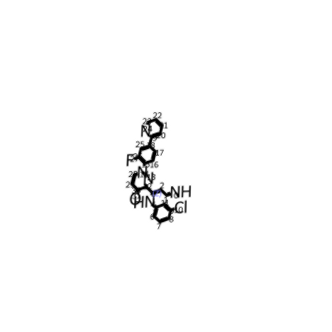 N=C/C=C(\Nc1cccc(Cl)c1)c1nn(-c2ccc(-c3ccccn3)cc2F)ccc1=O